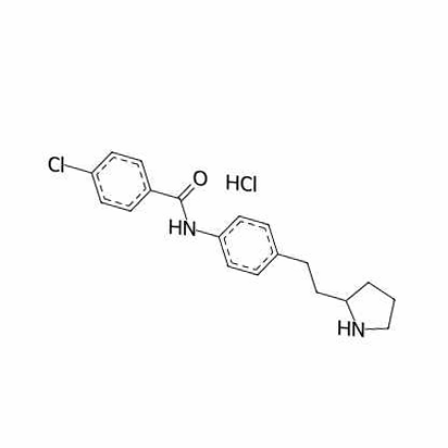 Cl.O=C(Nc1ccc(CCC2CCCN2)cc1)c1ccc(Cl)cc1